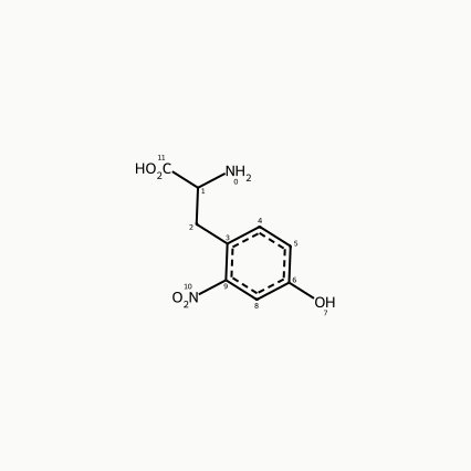 NC(Cc1ccc(O)cc1[N+](=O)[O-])C(=O)O